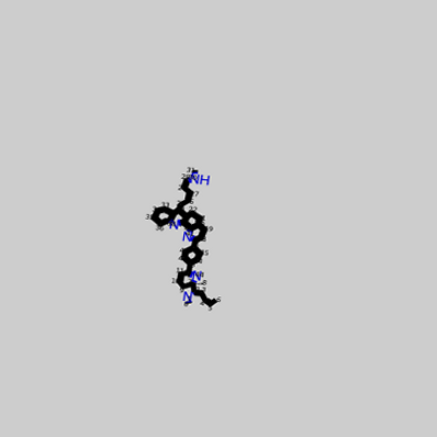 C=N/C(=C\C=C/C)[C@@]1(C)CC=CC(c2ccc(-c3ccc4ccc5c(C/C=C\C=C/NC)c6ccccc6nc5c4n3)cc2)=N1